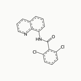 O=C(Nc1cccc2cccnc12)c1c(Cl)cccc1Cl